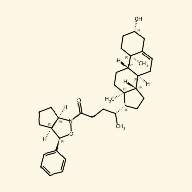 CC(CCC(=O)N1O[C@@H](c2ccccc2)[C@H]2CCC[C@H]21)[C@H]1CC[C@H]2[C@@H]3CC=C4C[C@@H](O)CC[C@]4(C)[C@H]3CC[C@]12C